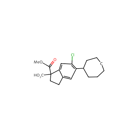 COC(=O)C1(C(=O)O)CCc2cc(C3CCCCCC3)c(Cl)cc21